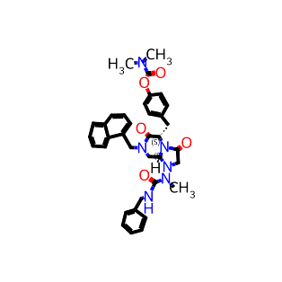 CN(C)C(=O)Oc1ccc(C[C@H]2C(=O)N(Cc3cccc4ccccc34)C[C@H]3N2C(=O)CN3N(C)C(=O)NCc2ccccc2)cc1